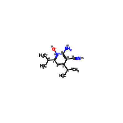 CC(C)c1cc(C(C)C)[n+]([O-])c(N)c1C#N